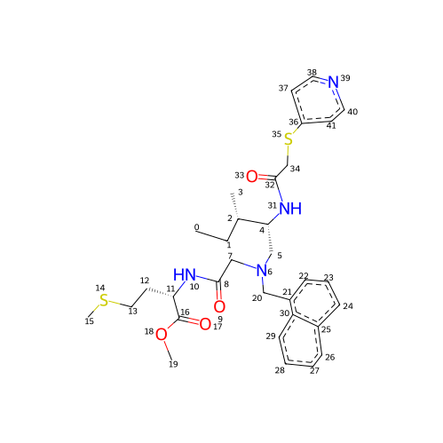 CC[C@H](C)[C@@H](CN(CC(=O)N[C@@H](CCSC)C(=O)OC)Cc1cccc2ccccc12)NC(=O)CSc1ccncc1